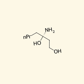 CCCC[C@](N)(O)CCO